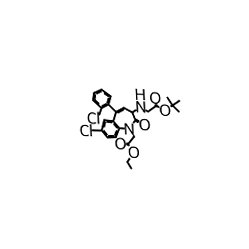 CCOC(=O)CN1C(=O)C(NCC(=O)OC(C)(C)C)C=C(c2ccccc2Cl)c2cc(Cl)ccc21